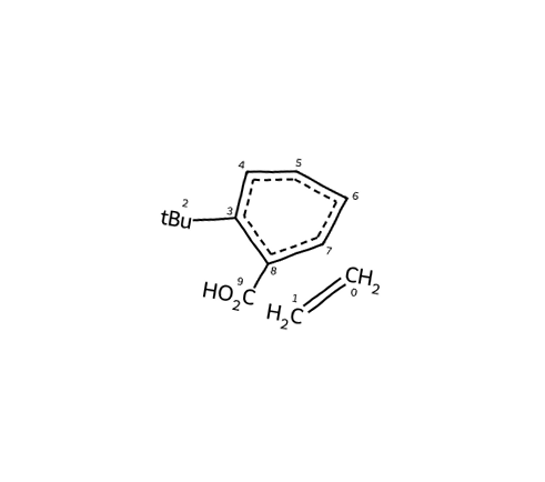 C=C.CC(C)(C)c1ccccc1C(=O)O